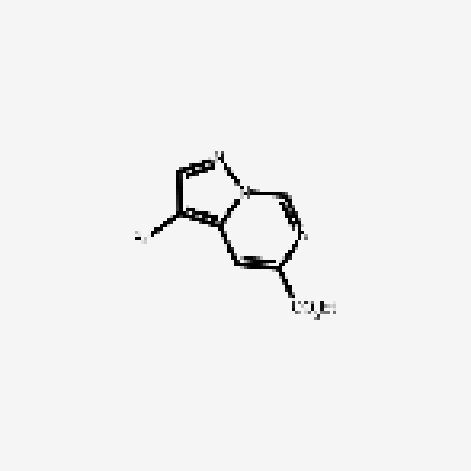 CCOC(=O)c1cc2c(Br)cnn2cn1